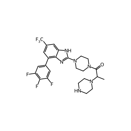 CC(C(=O)N1CCN(c2nc3c(-c4cc(F)c(F)c(F)c4)cc(C(F)(F)F)cc3[nH]2)CC1)N1CCNCC1